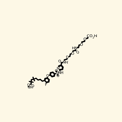 CC(C)(CCCCc1cc(Oc2ccc(S(=O)(=O)Nc3ccc(C(=O)NCCOCCOCC(=O)NCCOCCOCC(=O)O)cn3)cc2)ccc1F)CC(C)(C)C(=O)OC(C)(C)C